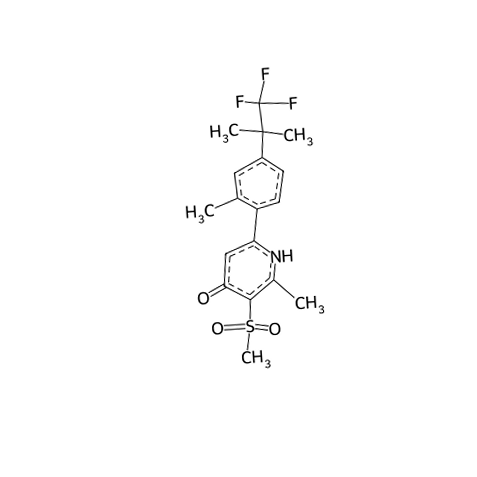 Cc1cc(C(C)(C)C(F)(F)F)ccc1-c1cc(=O)c(S(C)(=O)=O)c(C)[nH]1